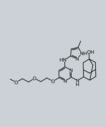 COCCOCCOc1cc(Nc2cc(C)[nH]n2)nc(NC2C3CC4CC2CC(O)(C4)C3)n1